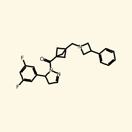 O=C(N1N=CCC1c1cc(F)cc(F)c1)C12CC(CN3CC(c4ccccc4)C3)(C1)C2